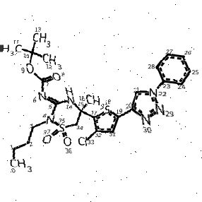 CCCCN1/C(=N/C(=O)OC(C)(C)C)N[C@](C)(c2sc(-c3cn(-c4ccccc4)nn3)cc2Cl)CS1(=O)=O